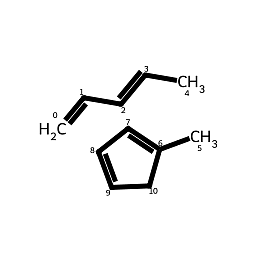 C=CC=CC.CC1=CC=CC1